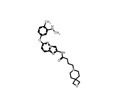 CNc1cc(Oc2ccc3nc(NC(=O)CCCN4CCC5(CC4)COC5)cn3n2)ccc1C